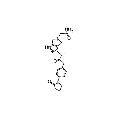 NC(=O)CN1Cc2[nH]nc(NC(=O)Cc3ccc(N4CCCC4=O)cc3)c2C1